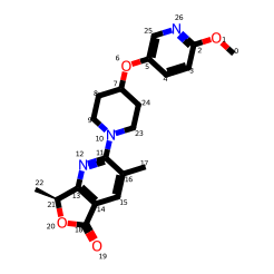 COc1ccc(OC2CCN(c3nc4c(cc3C)C(=O)O[C@H]4C)CC2)cn1